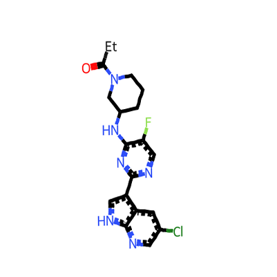 CCC(=O)N1CCCC(Nc2nc(-c3c[nH]c4ncc(Cl)cc34)ncc2F)C1